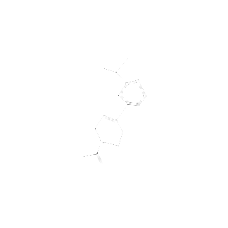 CC(=O)N1CC=C(c2cccc(C(C)C)c2)CC1